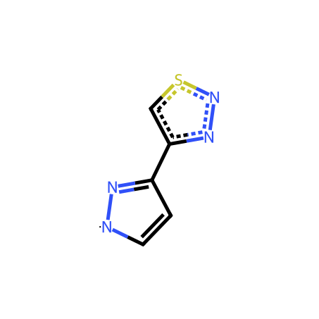 C1=CC(c2csnn2)=N[N]1